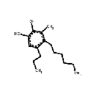 CCCCCCc1c(CCC)cc(O)c(O)c1C